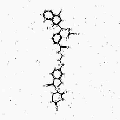 CCCC(=O)NC(c1cccc(C(=O)NCCNc2ccc3c(c2)CN(C2CCC(=O)NC2=O)C3=O)c1)c1cc(C)c2cccnc2c1O